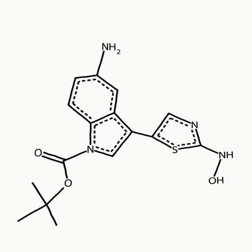 CC(C)(C)OC(=O)n1cc(-c2cnc(NO)s2)c2cc(N)ccc21